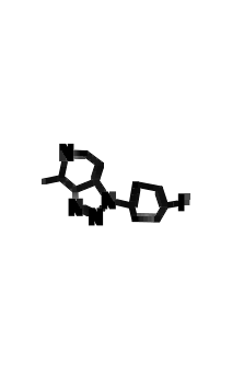 CC1N=CC=C2C1N=NN2c1ccc(F)cc1